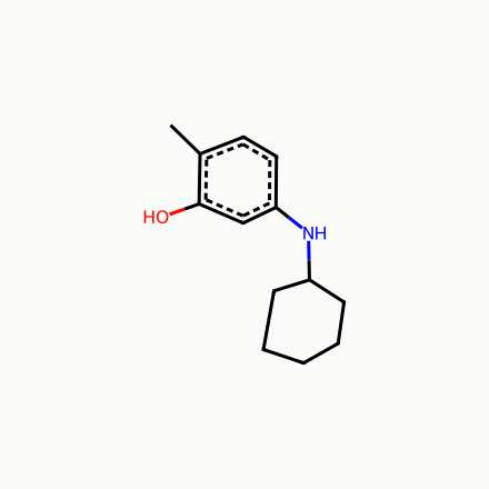 Cc1ccc(NC2CCCCC2)cc1O